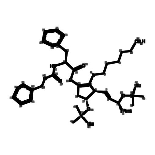 CCCCC[C@@H](C=C[C@@H]1C(SCCCCCC(=O)O)=C(OC(=O)[C@H](Cc2ccccc2)NC(=O)OCc2ccccc2)C[C@H]1O[Si](C)(C)C(C)(C)C)O[Si](C)(C)C(C)(C)C